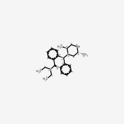 CCN(CC)C(=O)c1ccccc1[C@H](c1ccccc1)N1C[C@@H](C)NC[C@@H]1C